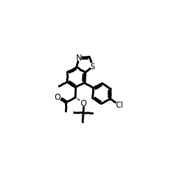 CC(=O)[C@@H](OC(C)(C)C)c1c(C)cc2ncsc2c1-c1ccc(Cl)cc1